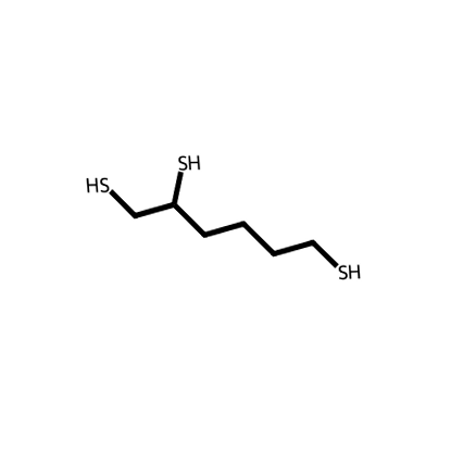 SCCCCC(S)CS